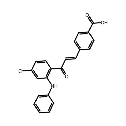 O=C(O)c1ccc(C=CC(=O)c2ccc(Cl)cc2Nc2ccccc2)cc1